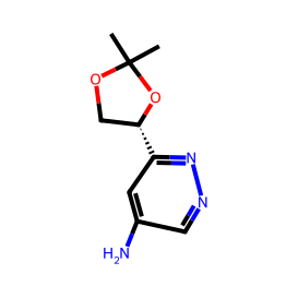 CC1(C)OC[C@@H](c2cc(N)cnn2)O1